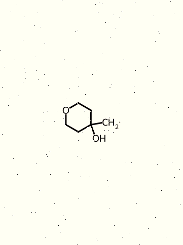 [CH2]C1(O)CCOCC1